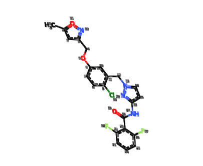 Cc1cc(COc2ccc(Cl)c(Cn3ccc(NC(=O)c4c(F)cccc4F)n3)c2)no1